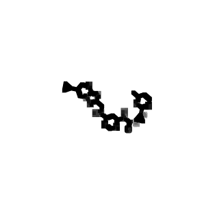 Cc1ccnc([C@H]2C[C@@H]2C(=O)Nc2cc(NCc3nc4ncc(C5CC5)cn4n3)ncn2)n1